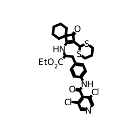 CCOC(=O)C(Cc1ccc(NC(=O)c2c(Cl)cncc2Cl)cc1)NC1=C(C2SCCCS2)C(=O)C12CCCCC2